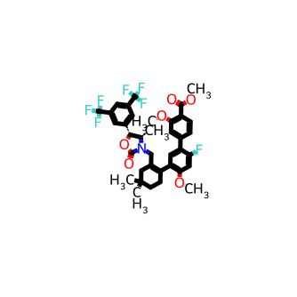 COC(=O)c1ccc(-c2cc(C3=C(CN4C(=O)O[C@H](c5cc(C(F)(F)F)cc(C(F)(F)F)c5)[C@@H]4C)CC(C)(C)CC3)c(OC)cc2F)cc1OC